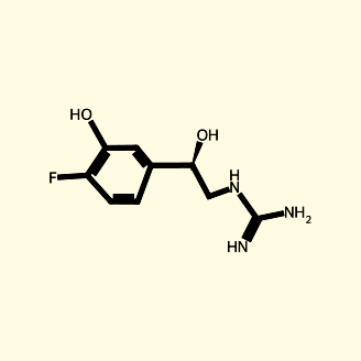 N=C(N)NC[C@H](O)c1ccc(F)c(O)c1